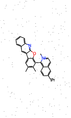 Cc1cc2c(oc3nc4ccccc4cc32)c(-c2c3ccc(C(C)C)cc3cc[n+]2C)c1C